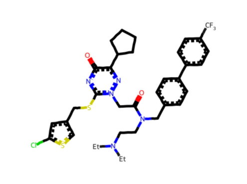 CCN(CC)CCN(Cc1ccc(-c2ccc(C(F)(F)F)cc2)cc1)C(=O)Cn1nc(C2CCCC2)c(=O)nc1SCc1csc(Cl)c1